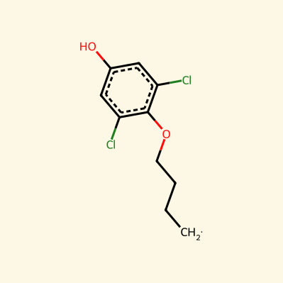 [CH2]CCCOc1c(Cl)cc(O)cc1Cl